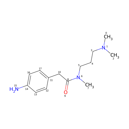 CN(C)CCCN(C)C(=O)Cc1ccc(N)cc1